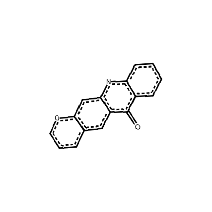 O=c1c2ccccc2nc2cc3occcc3cc12